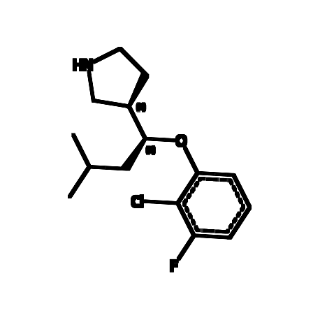 CC(C)C[C@H](Oc1cccc(F)c1Cl)[C@@H]1CCNC1